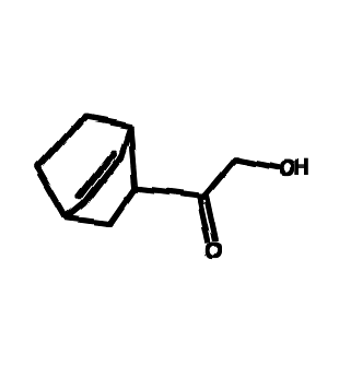 O=C(CO)C1CC2C=CC1CC2